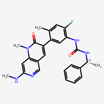 CNc1cc2c(cn1)cc(-c1cc(NC(=O)N[C@H](C)c3ccccc3)c(F)cc1C)c(=O)n2C